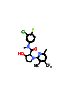 Cc1cc(C(F)(F)F)c(C#N)c(N2CC[C@@H](O)[C@H]2C(=O)N(C)c2ccc(F)c(Cl)c2)n1